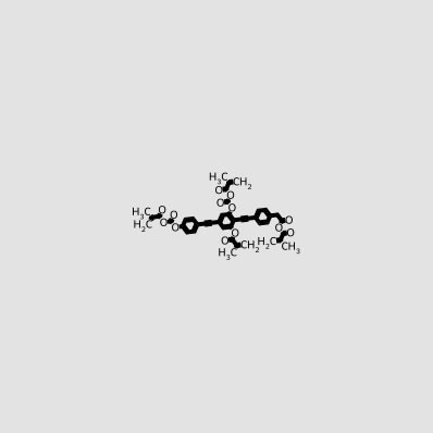 C=C(C)C(=O)OC(=O)Cc1ccc(C#Cc2c(OC(=O)OC(=O)C(=C)C)cc(C#Cc3ccc(OC(=O)OC(=O)C(=C)C)cc3)cc2OC(=O)C(=C)C)cc1